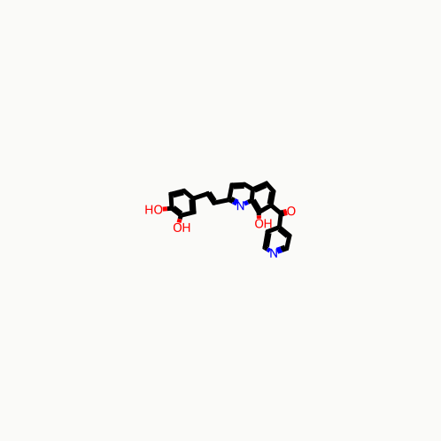 O=C(c1ccncc1)c1ccc2ccc(C=Cc3ccc(O)c(O)c3)nc2c1O